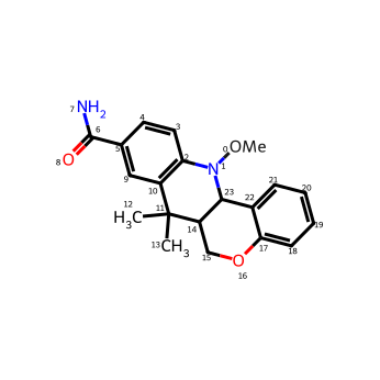 CON1c2ccc(C(N)=O)cc2C(C)(C)C2COc3ccccc3C21